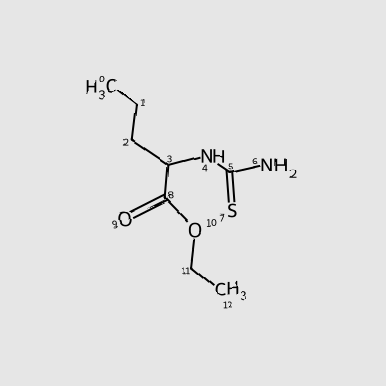 CCCC(NC(N)=S)C(=O)OCC